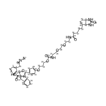 [N-]=[N+]=NCc1ccccc1[C@@H]1OC(c2ccc(OCCCOC(=O)NCCOCCOCCNC(=O)CCCCC3SCC4NC(=O)NC43)cc2)=N[C@]1(Cc1ccccc1)C(=O)O